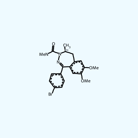 CNC(=O)N1N=C(c2ccc(Br)cc2)c2cc(OC)c(OC)cc2C[C@@H]1C